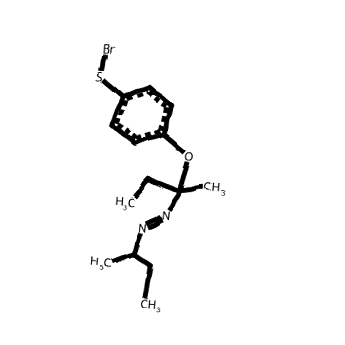 CCC(C)N=NC(C)(CC)Oc1ccc(SBr)cc1